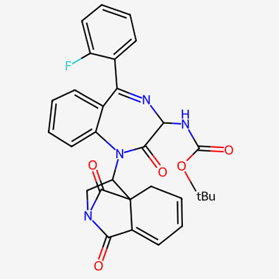 CC(C)(C)OC(=O)NC1N=C(c2ccccc2F)c2ccccc2N(C2CN3C(=O)C4=CC=CCC42C3=O)C1=O